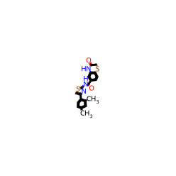 Cc1ccc(-c2csc(NC(=O)c3ccc4c(c3)NC(=O)CS4)n2)c(C)c1